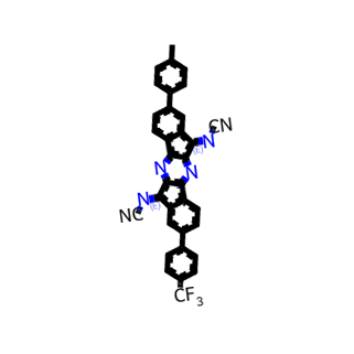 Cc1ccc(-c2ccc3c(c2)/c(=N\C#N)c2nc4c(nc23)/c(=N/C#N)c2cc(-c3ccc(C(F)(F)F)cc3)ccc24)cc1